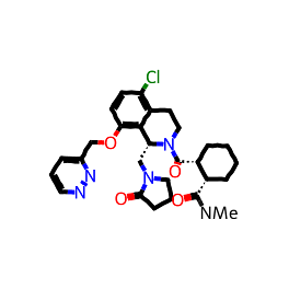 CNC(=O)[C@H]1CCCC[C@H]1C(=O)N1CCc2c(Cl)ccc(OCc3cccnn3)c2[C@H]1CN1CCCC1=O